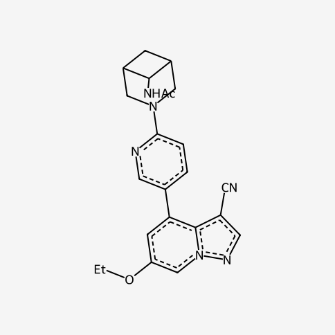 CCOc1cc(-c2ccc(N3CC4CC(C3)C4NC(C)=O)nc2)c2c(C#N)cnn2c1